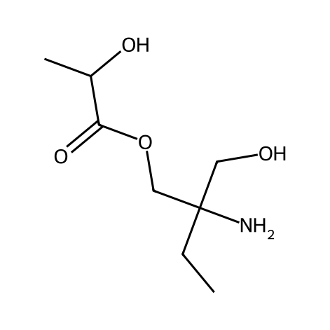 CCC(N)(CO)COC(=O)C(C)O